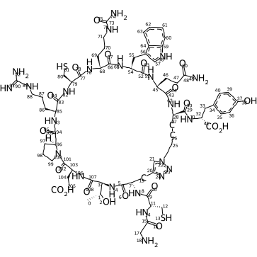 C[C@@H](O)[C@@H]1NC(=O)[C@@H](NC(=O)[C@H](CS)NC(=O)CN)Cc2cn(nn2)CCC[C@H](C(=O)N[C@H](Cc2ccc(O)cc2)C(=O)O)NC(=O)[C@H](CCC(N)=O)NC(=O)[C@H](Cc2c[nH]c3ccccc23)NC(=O)[C@H](CCCNC(N)=O)NC(=O)[C@H](CS)NC(=O)[C@H](CCCNC(=N)N)NC(=O)[C@@H]2CCCN2C(=O)[C@H](CC(=O)O)NC1=O